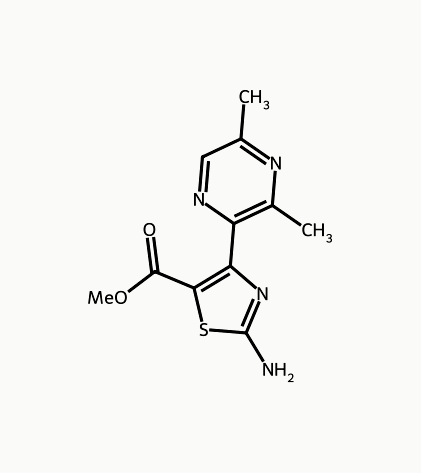 COC(=O)c1sc(N)nc1-c1ncc(C)nc1C